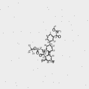 CON(C)C(=O)c1cccc(-c2cccc(N(CC(=O)OC(C)(C)C)C(=O)c3c(F)cc(F)cc3F)c2)c1